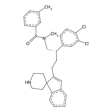 Cc1cccc(C(=O)N(C)C[C@@H](CCC2=Cc3ccccc3C23CCNCC3)c2ccc(Cl)c(Cl)c2)c1